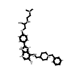 CN(C)CCNC(O)COc1ccc(-c2nc3c(NCC4CCN(Cc5ccccc5)CC4)c(Cl)cnc3[nH]2)cc1